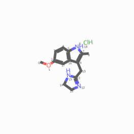 COc1ccc2[nH]c(C)c(CC3=NCCN3)c2c1.Cl